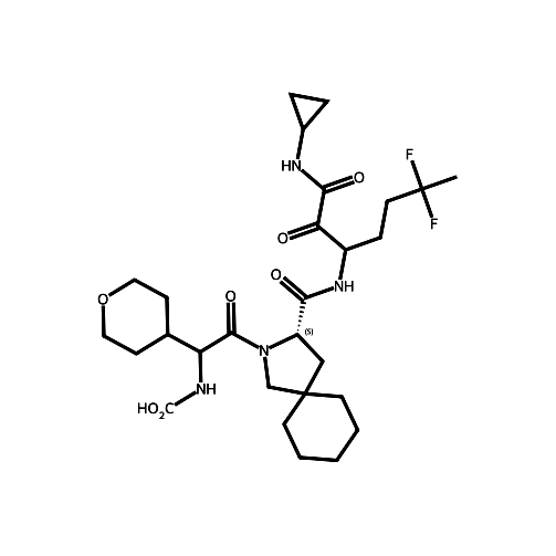 CC(F)(F)CCC(NC(=O)[C@@H]1CC2(CCCCC2)CN1C(=O)C(NC(=O)O)C1CCOCC1)C(=O)C(=O)NC1CC1